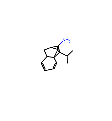 CC(C)C1=C(N)C2CC3C=CC=CC13C2